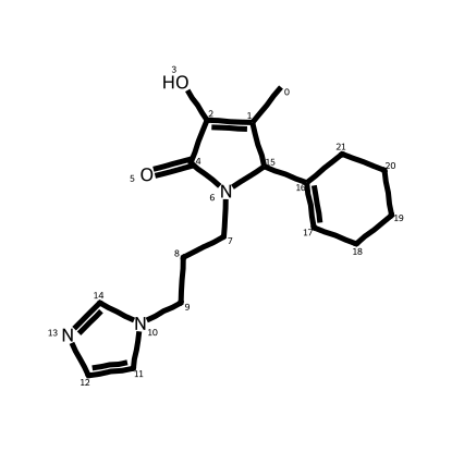 CC1=C(O)C(=O)N(CCCn2ccnc2)C1C1=CCCCC1